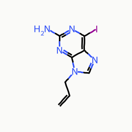 C=CCn1cnc2c(I)nc(N)nc21